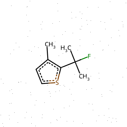 Cc1ccsc1C(C)(C)F